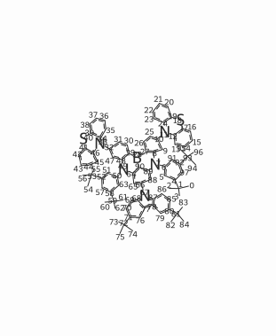 CC(C)(C)c1cc(N2c3cc(N4c5ccccc5Sc5ccccc54)ccc3B3c4ccc(N5c6ccccc6Sc6ccccc65)cc4N(c4cc(C(C)(C)C)cc(C(C)(C)C)c4)c4cc(-n5c6ccc(C(C)(C)C)cc6c6cc(C(C)(C)C)ccc65)cc2c43)cc(C(C)(C)C)c1